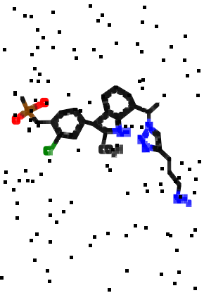 CC(c1cccc2c(-c3ccc(CS(C)(=O)=O)c(Cl)c3)c(C(=O)O)[nH]c12)n1cc(CCCN)nn1